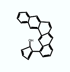 OC1C=CC=C1c1cccc2cc3ccc4cc5ccccc5cc4c3cc12